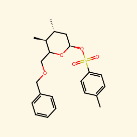 Cc1ccc(S(=O)(=O)O[C@@H]2C[C@@H](C)[C@H](C)C(COCc3ccccc3)O2)cc1